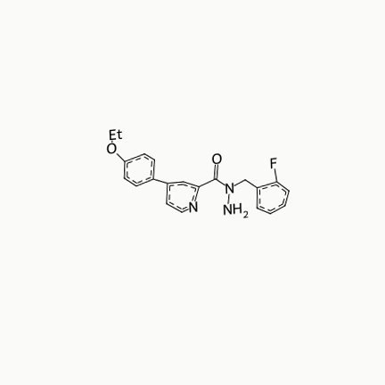 CCOc1ccc(-c2ccnc(C(=O)N(N)Cc3ccccc3F)c2)cc1